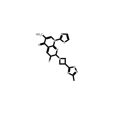 Cc1noc(C2CN(C3N=c4c(c(=O)c(C(=O)O)cn4-c4nccs4)=CC3F)C2)n1